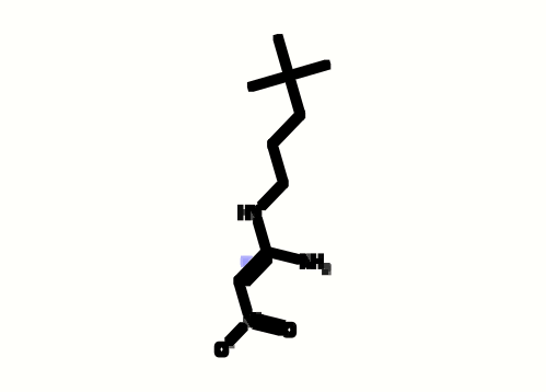 CC(C)(C)CCCN/C(N)=C/[N+](=O)[O-]